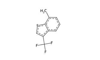 Cc1cccc2c(C(F)(F)F)csc12